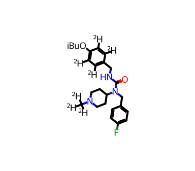 [2H]c1c([2H])c(OCC(C)C)c([2H])c([2H])c1CNC(=O)N(Cc1ccc(F)cc1)C1CCN(C([2H])([2H])[2H])CC1